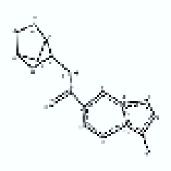 Cc1ccn2cc(C(=O)NC3CC4CNC3C4)ccc12